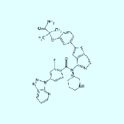 CC(C)(Oc1cccc(-c2cc3c(N(C(=O)c4ccc(-n5nnc6cccnc65)cc4F)[C@@H]4CCCNC4)nccc3s2)c1)C(N)=O